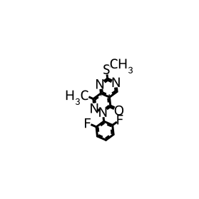 CSc1ncc2c(=O)n(-c3c(F)cccc3F)nc(C)c2n1